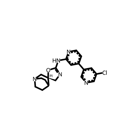 Clc1cncc(-c2ccnc(NC3=NC[C@@]4(CN5CCC4CC5)O3)c2)c1